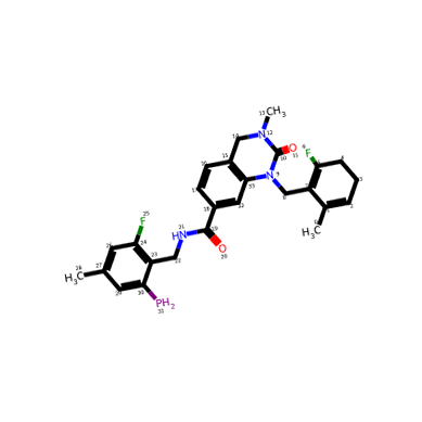 CC1=CCCC(F)=C1CN1C(=O)N(C)Cc2ccc(C(=O)NCc3c(F)cc(C)cc3P)cc21